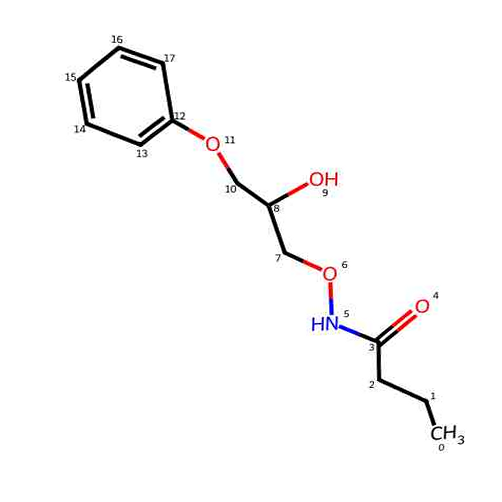 CCCC(=O)NOCC(O)COc1ccccc1